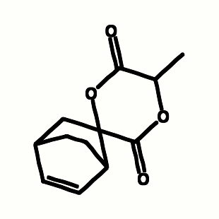 CC1OC(=O)C2(CC3C=CC2CC3)OC1=O